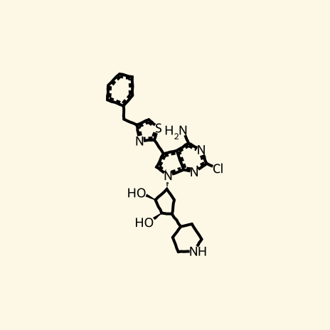 Nc1nc(Cl)nc2c1c(-c1nc(Cc3ccccc3)cs1)cn2[C@@H]1CC(C2CCNCC2)[C@@H](O)[C@H]1O